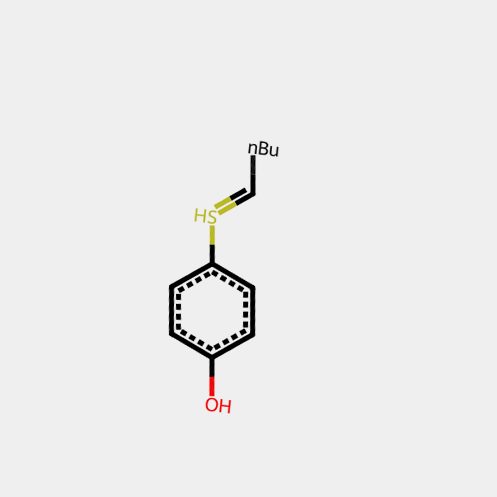 CCCCC=[SH]c1ccc(O)cc1